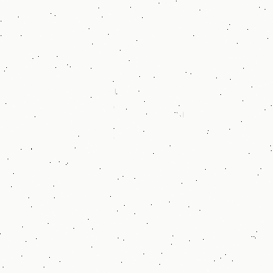 COc1cc2c(cc1OC)C(c1ccccc1)CNC2